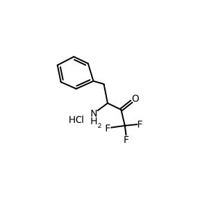 Cl.NC(Cc1ccccc1)C(=O)C(F)(F)F